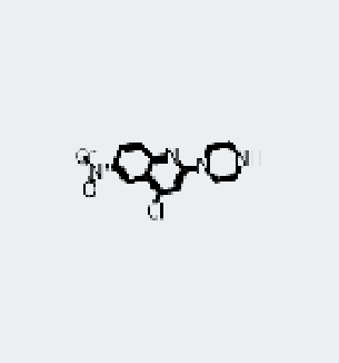 O=[N+]([O-])c1ccc2nc(N3CCNCC3)cc(Cl)c2c1